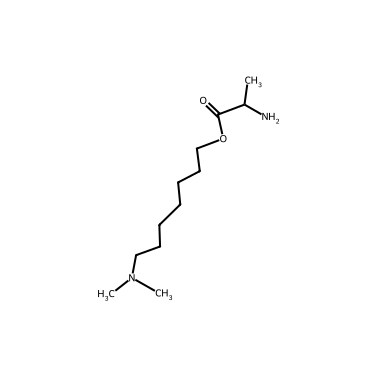 CC(N)C(=O)OCCCCCCCN(C)C